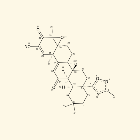 Cc1noc([C@]23CCC(C)(C)C[C@H]2[C@H]2C(=O)C=C4[C@@]5(C)C=C(C#N)C(=O)[C@@]6(C)O[C@@]56CC[C@@]4(C)[C@]2(C)CC3)n1